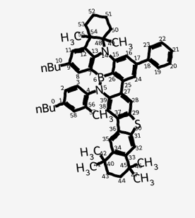 CCCCc1ccc(N2B3c4cc(CCCC)cc5c4N(c4cc(-c6ccccc6)cc(c43)-c3cc4sc6cc7c(cc6c4cc32)C(C)(C)CCC7(C)C)C2(C)CCCCC52C)c(C)c1